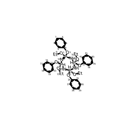 CCOP1(Oc2ccccc2)=N[PH](OCC)(Oc2ccccc2)N[PH](OCC)(Oc2ccccc2)N[PH](OCC)(Oc2ccccc2)N1